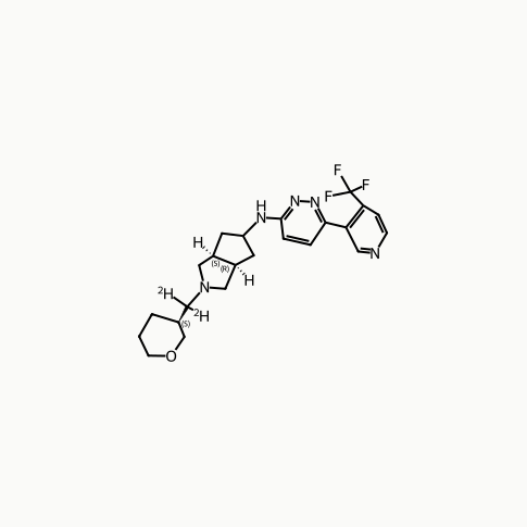 [2H]C([2H])([C@@H]1CCCOC1)N1C[C@H]2CC(Nc3ccc(-c4cnccc4C(F)(F)F)nn3)C[C@H]2C1